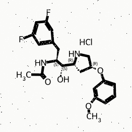 COc1cccc(O[C@H]2CN[C@@H]([C@H](O)[C@H](Cc3cc(F)cc(F)c3)NC(C)=O)C2)c1.Cl